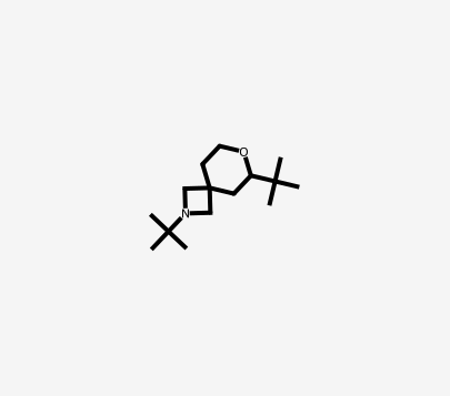 CC(C)(C)C1CC2(CCO1)CN(C(C)(C)C)C2